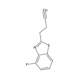 C#CCCc1nc2c(F)cccc2s1